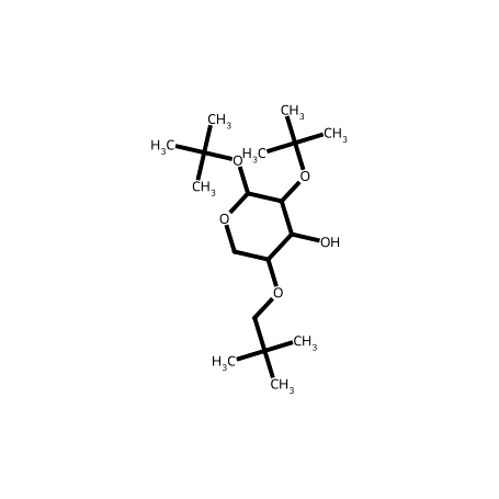 CC(C)(C)COC1COC(OC(C)(C)C)C(OC(C)(C)C)C1O